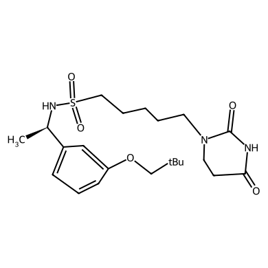 C[C@@H](NS(=O)(=O)CCCCCN1CCC(=O)NC1=O)c1cccc(OCC(C)(C)C)c1